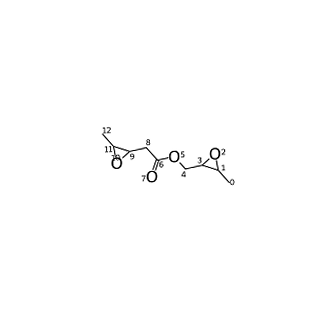 CC1OC1COC(=O)CC1OC1C